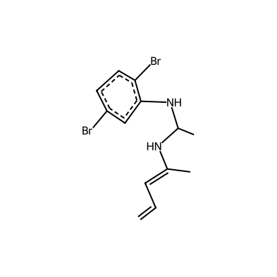 C=C/C=C(\C)NC(C)Nc1cc(Br)ccc1Br